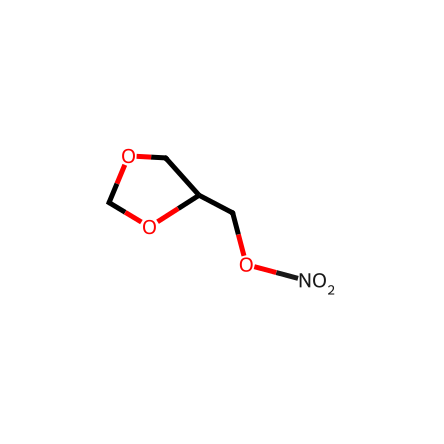 O=[N+]([O-])OCC1COCO1